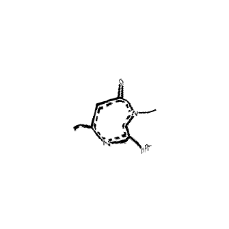 CCCc1nc(C)cc(=O)n1C